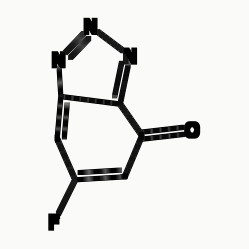 O=C1C=C(F)C=C2N=NN=C12